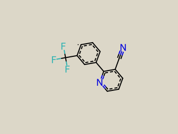 N#Cc1cccnc1-c1cc[c]c(C(F)(F)F)c1